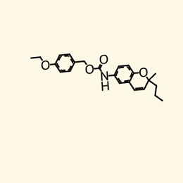 CCCC1(C)C=Cc2cc(NC(=O)OCc3ccc(OCC)cc3)ccc2O1